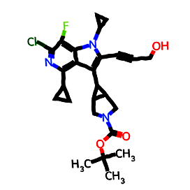 CC(C)(C)OC(=O)N1CC2C(C1)C2c1c(C#CCO)n(C2CC2)c2c(F)c(Cl)nc(C3CC3)c12